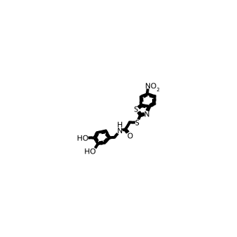 O=C(CSc1nc2ccc([N+](=O)[O-])cc2s1)NCc1ccc(O)c(O)c1